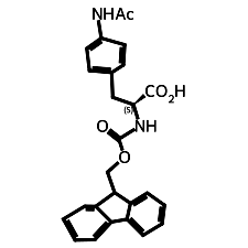 CC(=O)Nc1ccc(C[C@H](NC(=O)OCC2c3ccccc3-c3ccccc32)C(=O)O)cc1